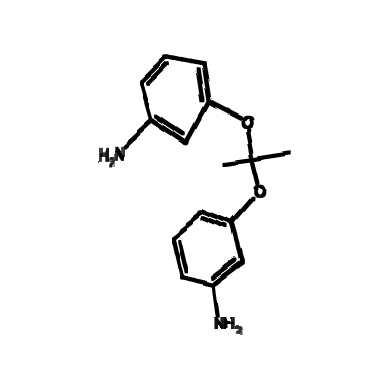 CC(C)(Oc1cccc(N)c1)Oc1cccc(N)c1